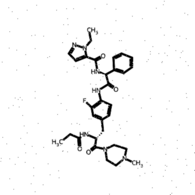 CCC(=O)N[C@H](Cc1ccc(NC(=O)[C@@H](NC(=O)c2ccnn2CC)c2ccccc2)c(F)c1)C(=O)N1CCN(C)CC1